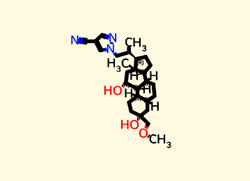 COC[C@@]1(O)CC[C@H]2[C@H](CC[C@@H]3[C@@H]2[C@H](O)C[C@]2(C)[C@@H](C(C)Cn4cc(C#N)cn4)CC[C@@H]32)C1